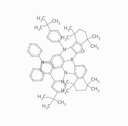 CC(C)(C)c1ccc(N2c3cc(N(c4ccccc4)c4ccccc4)cc4c3B(c3ccc5c(c3N4c3ccc(C(C)(C)C)cc3-c3ccccc3)C(C)(C)CCC5(C)C)c3oc4c(c32)C(C)(C)CCC4(C)C)cc1